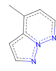 Cc1ccnn2nccc12